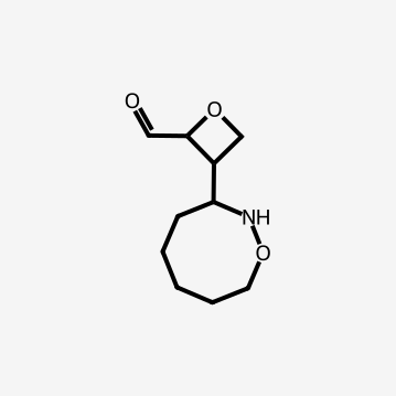 O=CC1OCC1C1CCCCCON1